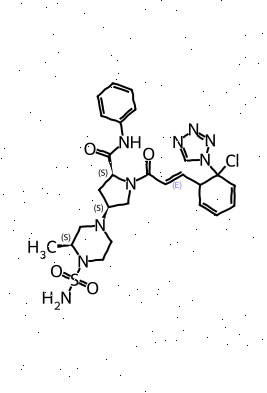 C[C@H]1CN([C@H]2C[C@@H](C(=O)Nc3ccccc3)N(C(=O)/C=C/C3C=CC=CC3(Cl)n3cnnn3)C2)CCN1S(N)(=O)=O